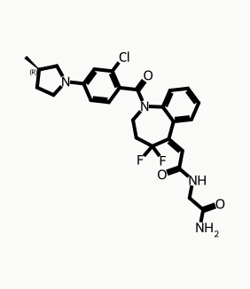 C[C@@H]1CCN(c2ccc(C(=O)N3CCC(F)(F)C(=CC(=O)NCC(N)=O)c4ccccc43)c(Cl)c2)C1